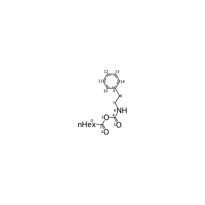 CCCCCCC(=O)OC(=O)NCCc1ccccc1